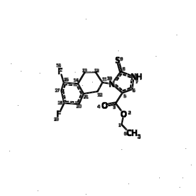 CCOC(=O)c1c[nH]c(=S)n1C1CCc2c(F)cc(F)cc2C1